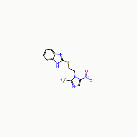 Cc1ncc([N+](=O)[O-])n1CCSc1nc2ccccc2[nH]1